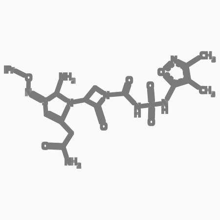 Cc1noc(NS(=O)(=O)NC(=O)N2CC(N3C(CC(N)=O)=C/S(=N/OC(C)C)C3N)C2=O)c1C